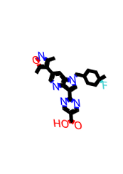 Cc1noc(C)c1-c1cnc2c(-c3ncc(C(=O)O)cn3)cn(CC3CCC(C)(F)CC3)c2c1